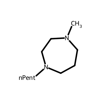 CCCCCN1CCCN(C)CC1